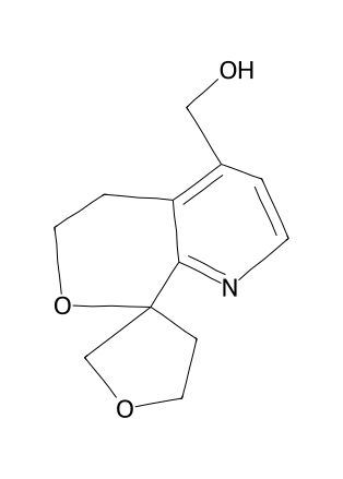 OCc1ccnc2c1CCOC21CCOC1